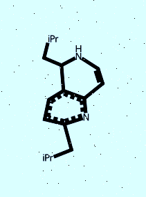 CC(C)Cc1ccc2c(n1)C=CNC2CC(C)C